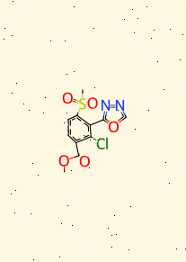 COC(=O)c1ccc(S(C)(=O)=O)c(-c2nnco2)c1Cl